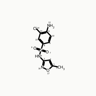 Cc1cc(NS(=O)(=O)c2ccc(N)c(Cl)c2)no1